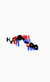 CS(=O)(=O)Nc1cccc([C@@H](O)CNCCOc2ccc3c4c([nH]c3c2)CCCC4)c1